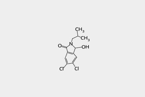 CC(C)CN1C(=O)c2cc(Cl)c(Cl)cc2C1O